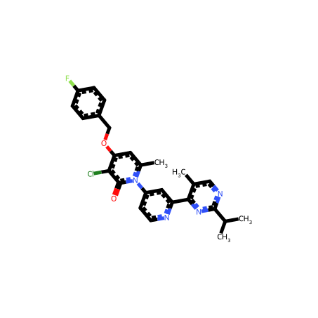 Cc1cnc(C(C)C)nc1-c1cc(-n2c(C)cc(OCc3ccc(F)cc3)c(Cl)c2=O)ccn1